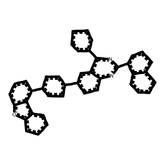 c1ccc(-c2nc(-c3cccc4ccccc34)nc3ccc(-c4ccc(-c5cccc6oc7ccccc7c56)cc4)cc23)cc1